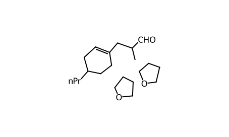 C1CCOC1.C1CCOC1.CCCC1CC=C(CC(C)C=O)CC1